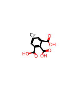 O=C(O)c1cccc(C(=O)O)c1C(=O)O.[Cu]